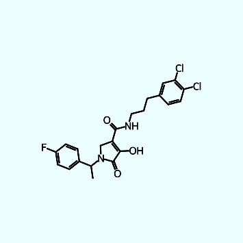 CC(c1ccc(F)cc1)N1CC(C(=O)NCCCc2ccc(Cl)c(Cl)c2)=C(O)C1=O